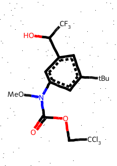 CON(C(=O)OCC(Cl)(Cl)Cl)c1cc(C(O)C(F)(F)F)cc(C(C)(C)C)c1